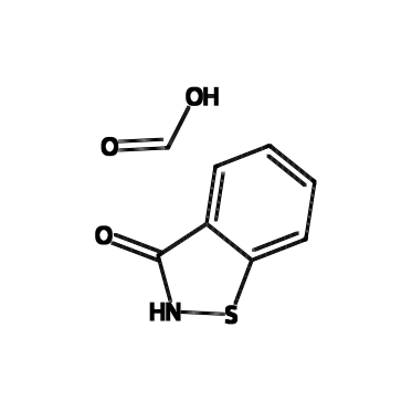 O=CO.O=c1[nH]sc2ccccc12